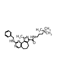 Cn1nc(C(=O)NCCC[N+](C)(C)C)c2c1-c1nc(NCc3ccccc3)ncc1CCC2